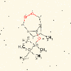 CC1CC2COOCC1C2O[Si](C)(C)C(C)(C)C